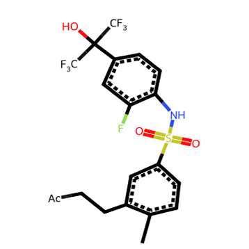 CC(=O)CCc1cc(S(=O)(=O)Nc2ccc(C(O)(C(F)(F)F)C(F)(F)F)cc2F)ccc1C